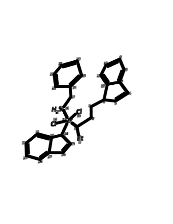 CC[CH](CCC1C=Cc2ccccc21)[Zr]([Cl])([Cl])([SiH2]Cc1ccccc1)[CH]1C=Cc2ccccc21